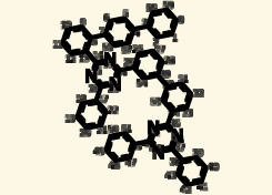 c1ccc(-c2ccc(-c3ccccc3-c3nc(-c4ccccc4)nc(-c4cccc(-c5cccc(-c6nc(-c7ccccc7)nc(-c7ccccc7)n6)c5)c4)n3)cc2)cc1